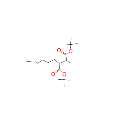 CCCCCCC(C(=O)OC(C)(C)C)C(C)C(=O)OC(C)(C)C